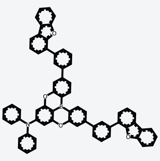 c1ccc(N(c2ccccc2)c2cc3c4c(c2)Oc2cc(-c5cccc(-c6cccc7c6oc6ccccc67)c5)ccc2B4c2ccc(-c4cccc(-c5cccc6c5oc5ccccc56)c4)cc2O3)cc1